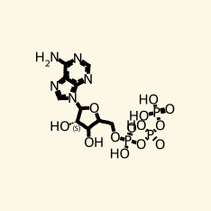 Nc1ncnc2c1ncn2C1OC(COP(=O)(O)OP(=O)(O)OP(=O)(O)O)C(O)[C@@H]1O